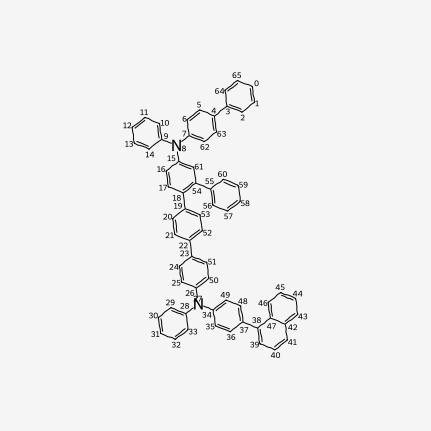 c1ccc(-c2ccc(N(c3ccccc3)c3ccc(-c4ccc(-c5ccc(N(c6ccccc6)c6ccc(-c7cccc8ccccc78)cc6)cc5)cc4)c(-c4ccccc4)c3)cc2)cc1